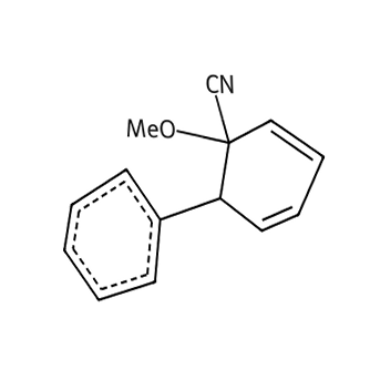 COC1(C#N)C=CC=CC1c1ccccc1